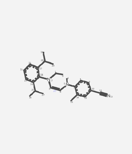 CCN(/C=C\N(C)c1ccc(C#N)cc1C)c1c(C(C)C)cccc1C(C)C